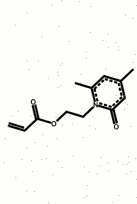 C=CC(=O)OCCn1c(C)cc(C)cc1=O